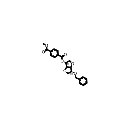 COC(=O)c1ccc(C(=O)O[C@H]2COC3C2OC[C@@H]3OCc2ccccc2)cc1